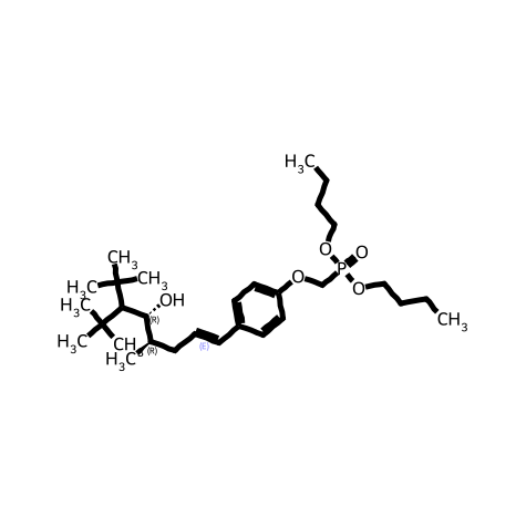 CCCCOP(=O)(COc1ccc(/C=C/C[C@@H](C)[C@@H](O)C(C(C)(C)C)C(C)(C)C)cc1)OCCCC